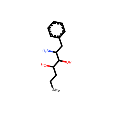 CSCCC(O)C(O)C(N)Cc1ccccc1